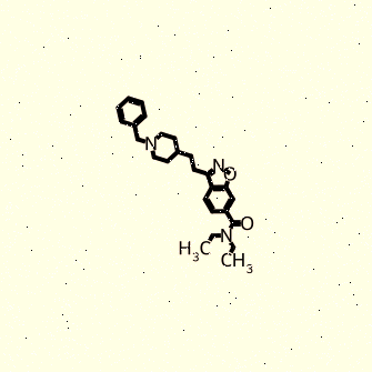 CCN(CC)C(=O)c1ccc2c(CCC3CCN(Cc4ccccc4)CC3)noc2c1